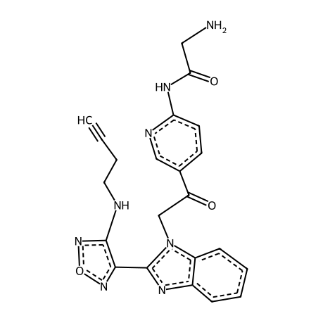 C#CCCNc1nonc1-c1nc2ccccc2n1CC(=O)c1ccc(NC(=O)CN)nc1